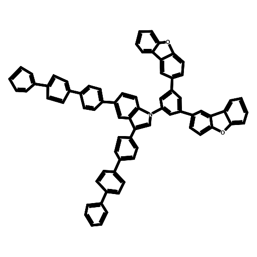 c1ccc(-c2ccc(-c3ccc(-c4ccc5c(c4)c(-c4ccc(-c6ccc(-c7ccccc7)cc6)cc4)cn5-c4cc(-c5ccc6oc7ccccc7c6c5)cc(-c5ccc6oc7ccccc7c6c5)c4)cc3)cc2)cc1